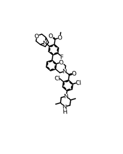 COC(=O)c1cc(F)c(-c2cccc3c2OCN(C(=O)c2c(Cl)cc(N4CC(C)NCC4C)cc2Cl)C3)cc1N1C2CCC1COC2